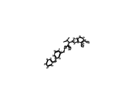 CC(C)C(C(=O)OCc1cccc(Oc2ccccc2)c1)N1Cc2ccc(Cl)c(Cl)c2C1